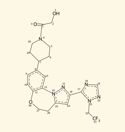 O=C(CO)N1CCC(c2ccc3c(c2)-n2nc(-c4ncnn4CC(F)(F)F)cc2CCO3)CC1